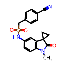 CN1C(=O)C2(CC2)c2cc(NS(=O)(=O)Cc3ccc(C#N)cc3)ccc21